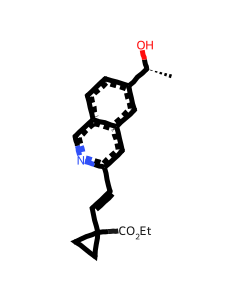 CCOC(=O)C1(/C=C/c2cc3cc([C@@H](C)O)ccc3cn2)CC1